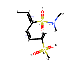 C=C(/C=C\C(=C/C)S(=O)(=O)N(C)C)S(C)(=O)=O